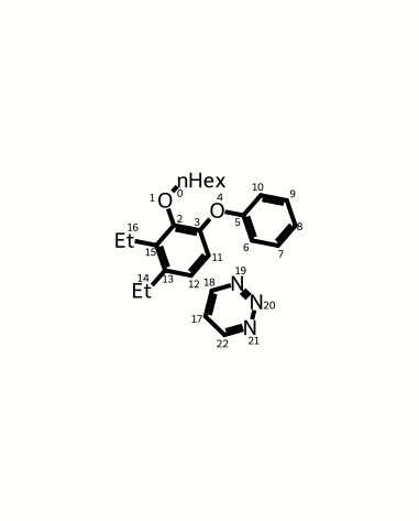 CCCCCCOc1c(Oc2ccccc2)ccc(CC)c1CC.c1cnnnc1